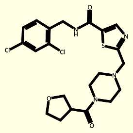 O=C(NCc1ccc(Cl)cc1Cl)c1cnc(CN2CCN(C(=O)C3CCOC3)CC2)s1